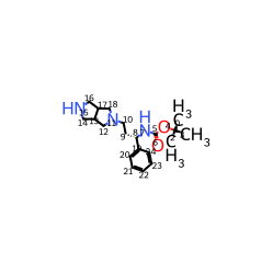 CC(C)(C)OC(=O)N[C@@H](CCN1CC2CNCC2C1)c1ccccc1